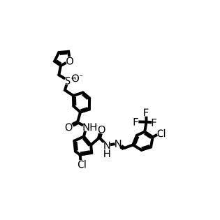 O=C(Nc1ccc(Cl)cc1C(=O)NN=Cc1ccc(Cl)c(C(F)(F)F)c1)c1cccc(C[S+]([O-])Cc2ccco2)c1